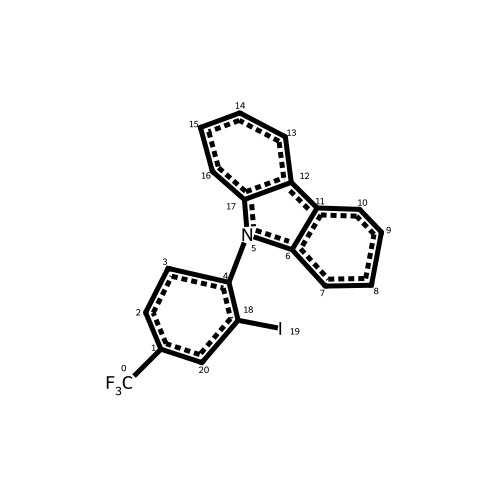 FC(F)(F)c1ccc(-n2c3ccccc3c3ccccc32)c(I)c1